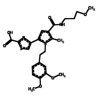 COCCCNC(=O)c1cc(-c2csc(C(=O)O)n2)n(CCc2ccc(OC)c(OC)c2)c1C